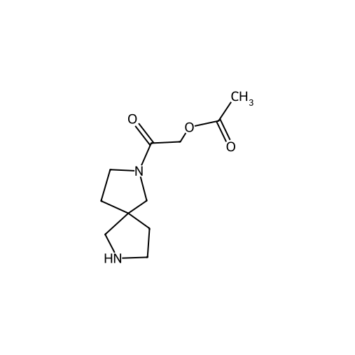 CC(=O)OCC(=O)N1CCC2(CCNC2)C1